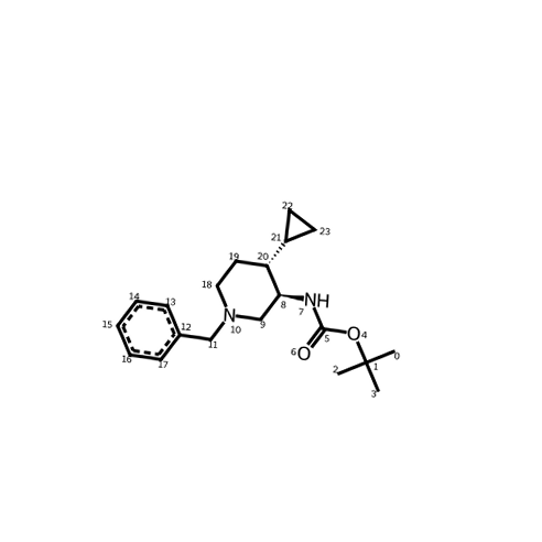 CC(C)(C)OC(=O)N[C@H]1CN(Cc2ccccc2)CC[C@@H]1C1CC1